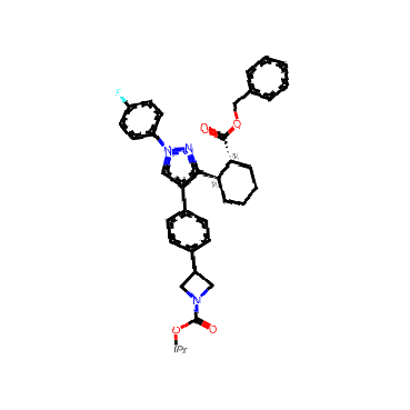 CC(C)OC(=O)N1CC(c2ccc(-c3cn(-c4ccc(F)cc4)nc3[C@@H]3CCCC[C@H]3C(=O)OCc3ccccc3)cc2)C1